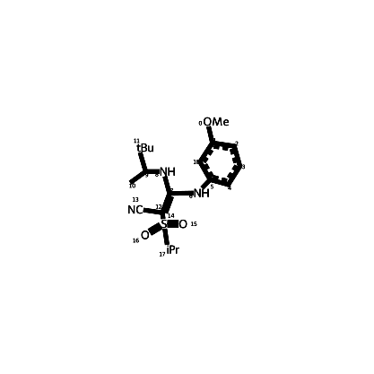 COc1cccc(NC(NC(C)C(C)(C)C)=C(C#N)S(=O)(=O)C(C)C)c1